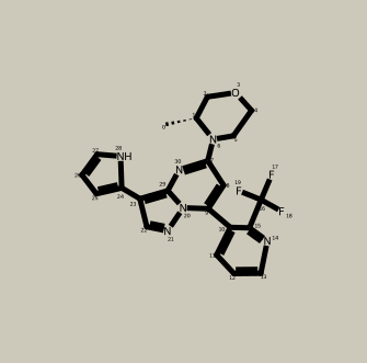 C[C@@H]1COCCN1c1cc(-c2cccnc2C(F)(F)F)n2ncc(-c3ccc[nH]3)c2n1